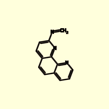 C=Nc1ccc2ccc3cccnc3c2n1